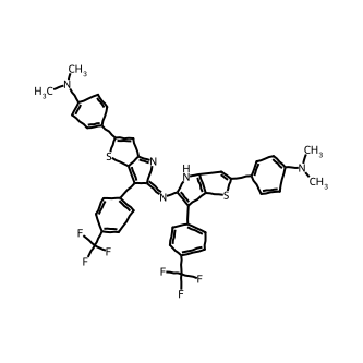 CN(C)c1ccc(-c2cc3c(s2)=C(c2ccc(C(F)(F)F)cc2)/C(=N/c2[nH]c4cc(-c5ccc(N(C)C)cc5)sc4c2-c2ccc(C(F)(F)F)cc2)N=3)cc1